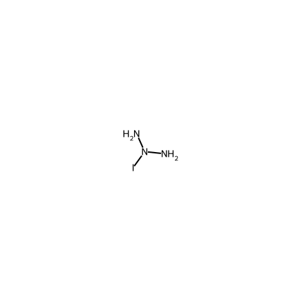 NN(N)I